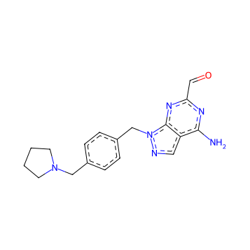 Nc1nc(C=O)nc2c1cnn2Cc1ccc(CN2CCCC2)cc1